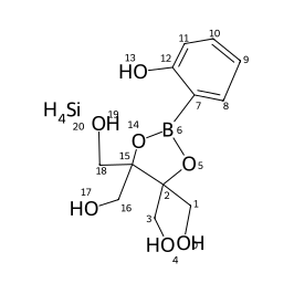 OCC1(CO)OB(c2ccccc2O)OC1(CO)CO.[SiH4]